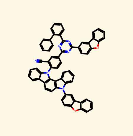 N#Cc1cc(-c2nc(-c3ccc4oc5ccccc5c4c3)nc(-c3ccccc3-c3ccccc3)n2)ccc1-n1c2ccccc2c2ccc3c(c4ccccc4n3-c3ccc4oc5ccccc5c4c3)c21